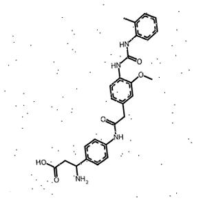 COc1cc(CC(=O)Nc2ccc(C(N)CC(=O)O)cc2)ccc1NC(=O)Nc1ccccc1C